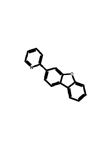 [c]1ccc2c(c1)oc1cc(-c3ccccn3)ccc12